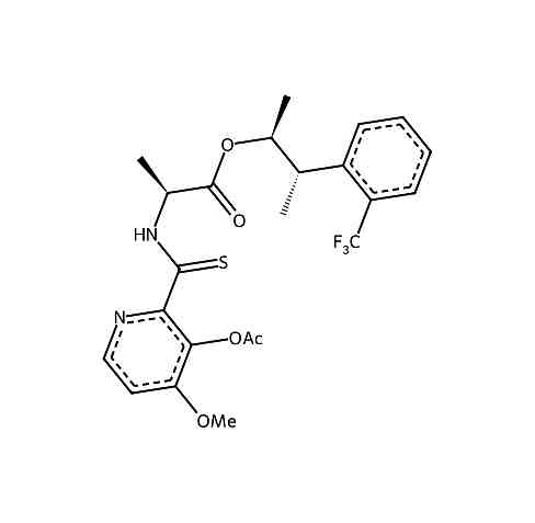 COc1ccnc(C(=S)N[C@@H](C)C(=O)O[C@@H](C)[C@@H](C)c2ccccc2C(F)(F)F)c1OC(C)=O